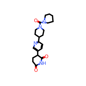 O=C1CCC(c2ccc(C3CCN(C(=O)N4CCCCC4)CC3)nc2)C(=O)N1